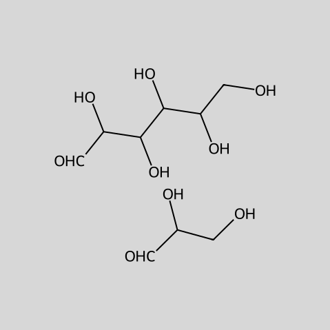 O=CC(O)C(O)C(O)C(O)CO.O=CC(O)CO